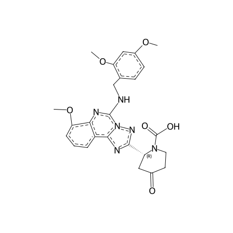 COc1ccc(CNc2nc3c(OC)cccc3c3nc([C@H]4CC(=O)CCN4C(=O)O)nn23)c(OC)c1